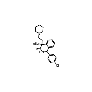 CCCCC1(CCN2CCCCC2)C(=O)NC(c2ccc(Cl)cc2)c2ccccc21